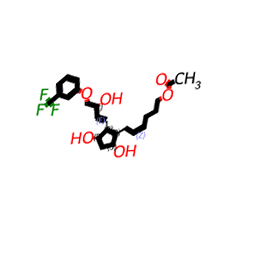 CC(=O)OCCC/C=C\C[C@@H]1[C@@H](/C=C/[C@@H](O)COc2cccc(C(F)(F)F)c2)[C@H](O)C[C@@H]1O